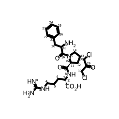 N=C(N)NCCC[C@H](NC(=O)[C@@H]1CCCN1C(=O)C(N)Cc1ccccc1)C(=O)O.O=C(CCl)CCl